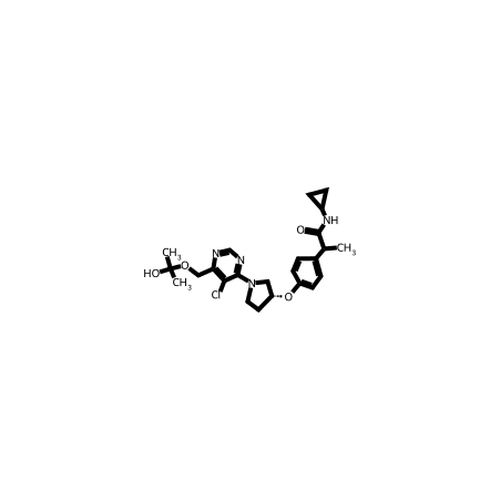 CC(C(=O)NC1CC1)c1ccc(O[C@@H]2CCN(c3ncnc(COC(C)(C)O)c3Cl)C2)cc1